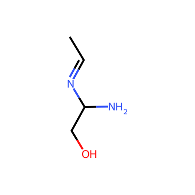 CC=NC(N)CO